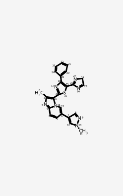 Cc1nc2ccc(-c3cnn(C)c3)cn2c1-c1nc(-c2ccccc2)c(C2=NCC=N2)s1